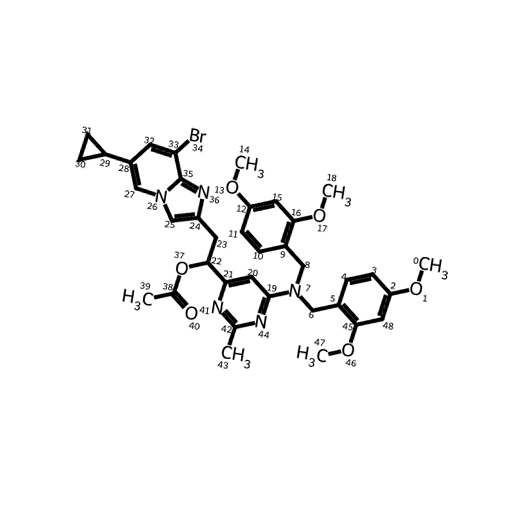 COc1ccc(CN(Cc2ccc(OC)cc2OC)c2cc(C(Cc3cn4cc(C5CC5)cc(Br)c4n3)OC(C)=O)nc(C)n2)c(OC)c1